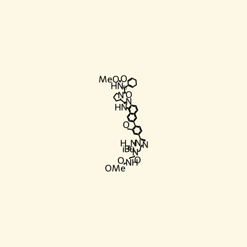 CC[C@H](C)N(Cc1ncc(-c2ccc3c(c2)COc2cc4c(ccc5nc(C6CCCN6C(=O)[C@H](NC(=O)OC)C6=CCCC=C6)[nH]c54)cc2-3)n1N)C(=O)CNC(=O)OC